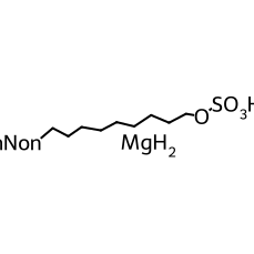 CCCCCCCCCCCCCCCCCCOS(=O)(=O)O.[MgH2]